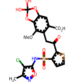 COc1c(CC(=O)c2sccc2S(=O)(=O)Nc2onc(C)c2Cl)c(C(=O)O)cc2c1OC(O)(O)O2